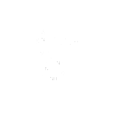 COC(=O)Cc1cc(C2=CN=C(NC(C)C)C(=O)[N]2)c(OC)c([N+](=O)[O-])c1